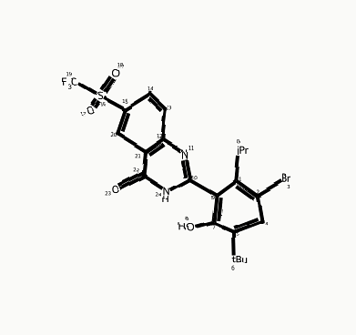 CC(C)c1c(Br)cc(C(C)(C)C)c(O)c1-c1nc2ccc(S(=O)(=O)C(F)(F)F)cc2c(=O)[nH]1